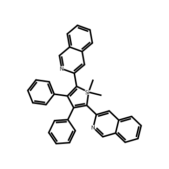 C[Si]1(C)C(c2cc3ccccc3cn2)=C(c2ccccc2)C(c2ccccc2)=C1c1cc2ccccc2cn1